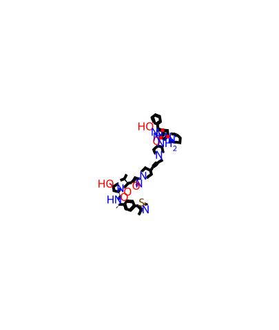 Cc1ncsc1-c1ccc([C@H](C)NC(=O)[C@@H]2C[C@@H](O)CN2C(=O)[C@H](c2cc(N3CCC(C#CCN4CCC(Oc5cc(N6C7CCC6CN(c6cc(-c8ccccc8O)nnc6N)C7)ccn5)CC4)CC3)no2)C(C)C)cc1